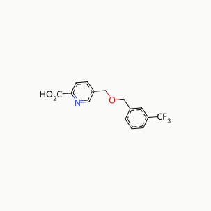 O=C(O)c1ccc(COCc2cccc(C(F)(F)F)c2)cn1